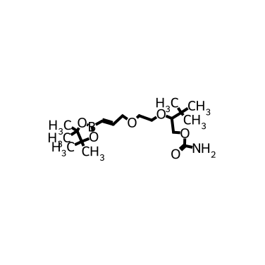 CC(C)(C)C(COC(N)=O)OCCOCC=CB1OC(C)(C)C(C)(C)O1